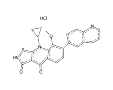 COc1c(-c2ccc3ncccc3c2)ccc2c(=O)c3c(=O)[nH]sc3n(C3CC3)c12.Cl